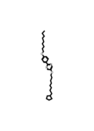 CCCCCCCCCOc1ccc(-c2ncc(OCCCCCCCCC3CCCC3)cn2)cc1